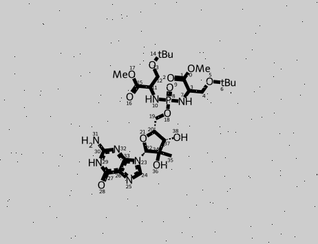 COC(=O)C(COC(C)(C)C)NP(=O)(NC(COC(C)(C)C)C(=O)OC)OC[C@H]1O[C@@H](n2cnc3c(=O)[nH]c(N)nc32)C(C)(O)[C@H]1O